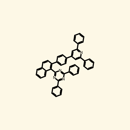 c1ccc(-c2cc(-c3ccc(-c4ccc5ccccc5c4-c4nc(-c5ccccc5)nc(-c5ccccc5)n4)cc3)cc(-c3ccccc3)n2)cc1